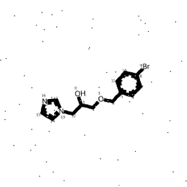 OC(COCc1ccc(Br)cc1)Cn1ccnc1